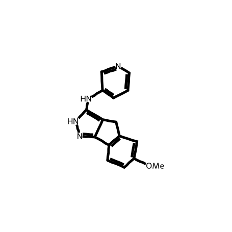 COc1ccc2c(c1)Cc1c-2n[nH]c1Nc1cccnc1